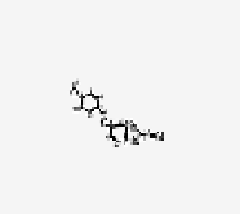 COc1ccc(COc2ccc3nc(C#N)sc3c2)cc1